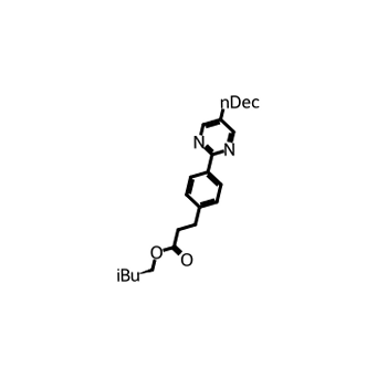 CCCCCCCCCCc1cnc(-c2ccc(CCC(=O)OC[C@H](C)CC)cc2)nc1